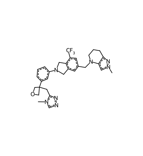 Cn1cc2c(n1)CCCN2Cc1cc2c(c(C(F)(F)F)c1)CN(c1cccc(C3(Cc4nncn4C)COC3)c1)C2